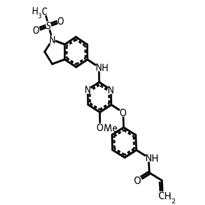 C=CC(=O)Nc1cccc(Oc2nc(Nc3ccc4c(c3)CCN4S(C)(=O)=O)ncc2OC)c1